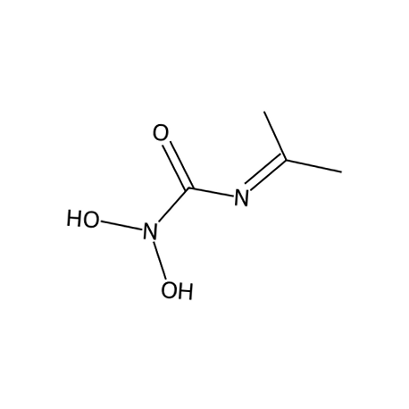 CC(C)=NC(=O)N(O)O